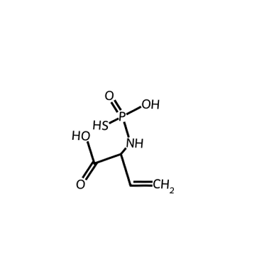 C=CC(NP(=O)(O)S)C(=O)O